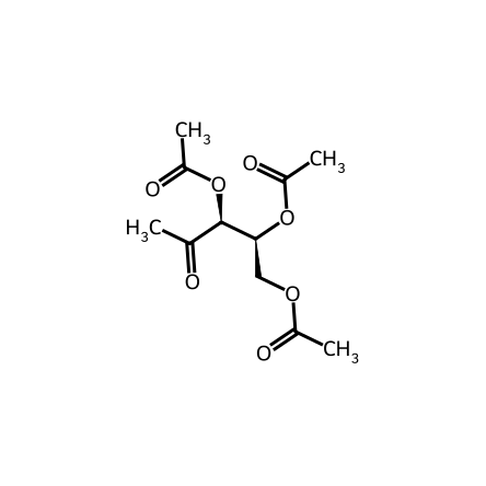 CC(=O)OC[C@H](OC(C)=O)[C@H](OC(C)=O)C(C)=O